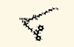 CCCOCCOCCOCCCNC(=O)CCCCN1NNN=C1C(C)(C)CCCCOc1cc(-c2ccccc2)cc(-c2ccccc2)n1